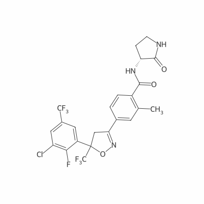 Cc1cc(C2=NOC(c3cc(C(F)(F)F)cc(Cl)c3F)(C(F)(F)F)C2)ccc1C(=O)N[C@@H]1CCNC1=O